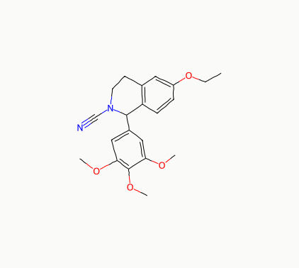 CCOc1ccc2c(c1)CCN(C#N)C2c1cc(OC)c(OC)c(OC)c1